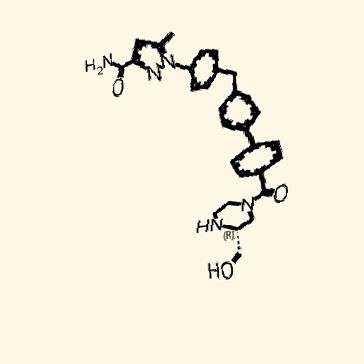 Cc1cc(C(N)=O)nn1-c1ccc(Cc2ccc(-c3ccc(C(=O)N4CCN[C@@H](CO)C4)cc3)cc2)cc1